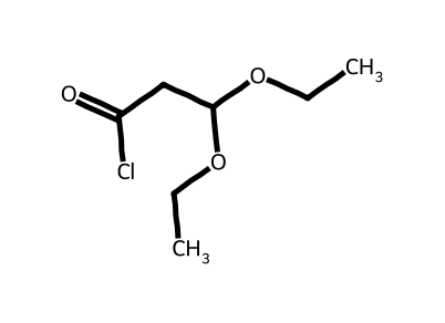 CCOC(CC(=O)Cl)OCC